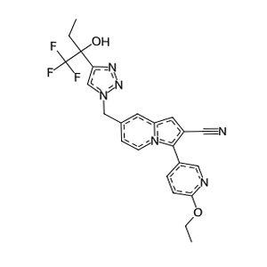 CCOc1ccc(-c2c(C#N)cc3cc(Cn4cc(C(O)(CC)C(F)(F)F)nn4)ccn23)cn1